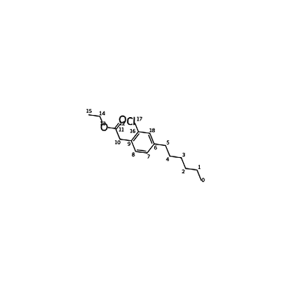 CCCCCCc1ccc(CC(=O)OCC)c(Cl)c1